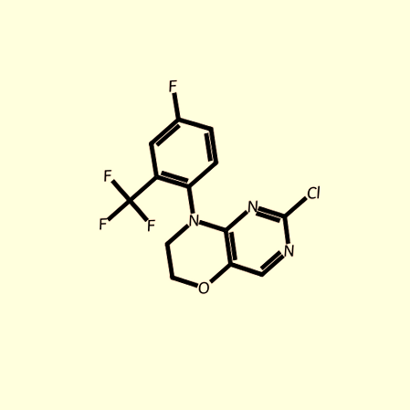 Fc1ccc(N2CCOc3cnc(Cl)nc32)c(C(F)(F)F)c1